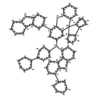 c1ccc(-c2ccc(N(c3cc(-c4ccc5sc6ccccc6c5c4)c4c(c3)C3(c5ccccc5S4)c4ccccc4-c4ccccc43)c3cccc4oc5c(-c6ccccc6)cccc5c34)cc2)cc1